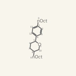 CCCCCCCCc1ccc(C2CCC(CCCCCCCC)CO2)cc1